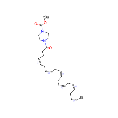 CC/C=C\C/C=C\C/C=C\C/C=C\C/C=C\C/C=C\CCC(=O)N1CCN(C(=O)OC(C)(C)C)CC1